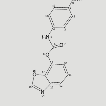 COc1ccc(NC(=O)Oc2cccc3ncoc23)cc1